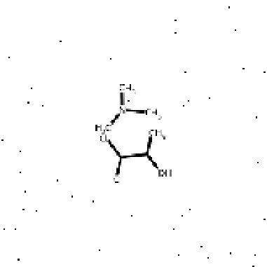 CC(O)C(Cl)Cl.CN(C)C